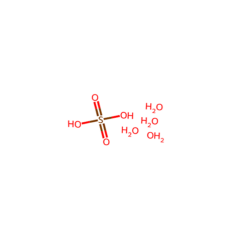 O.O.O.O.O=S(=O)(O)O